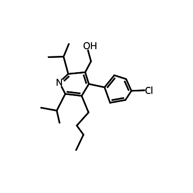 CCCCc1c(C(C)C)nc(C(C)C)c(CO)c1-c1ccc(Cl)cc1